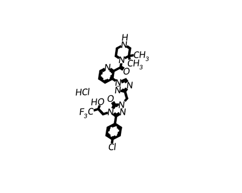 CC1(C)CNCCN1C(=O)c1ncccc1-n1cnc(Cn2nc(-c3ccc(Cl)cc3)n(CC(O)C(F)(F)F)c2=O)n1.Cl